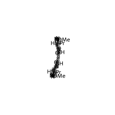 COc1cc(-c2[nH]c3ccc(C4CCN(CCNC(=O)CCCCCCCCCC(=O)NCCN5CCC(c6ccc7[nH]c(-c8cc(OC)c9ncnn9c8)c(C(C)C)c7c6)CC5)CC4)cc3c2C(C)C)cn2ncnc12